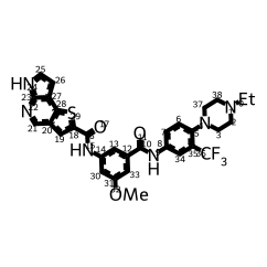 CCN1CCN(c2ccc(NC(=O)c3cc(NC(=O)c4cc5cnc6[nH]ccc6c5s4)cc(OC)c3)cc2C(F)(F)F)CC1